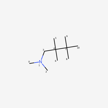 CN(C)CC(C)(C)C(C)(C)C